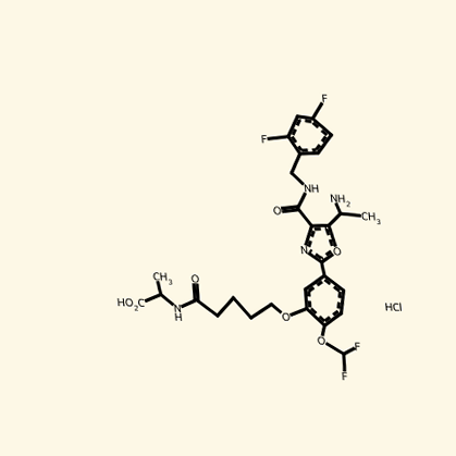 CC(NC(=O)CCCCOc1cc(-c2nc(C(=O)NCc3ccc(F)cc3F)c(C(C)N)o2)ccc1OC(F)F)C(=O)O.Cl